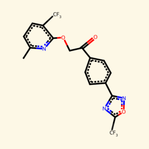 Cc1ccc(C(F)(F)F)c(OCC(=O)c2ccc(-c3noc(C(F)(F)F)n3)cc2)n1